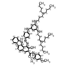 CCCCN(CCCC)CCCNc1nc(NCCCN(CCCC)CCCC)nc(Nc2ccc(N=Nc3c(O)c(C(=O)Nc4ccc(OC)cc4C)cc4ccc5c6ccccc6[nH]c5c34)cc2)n1